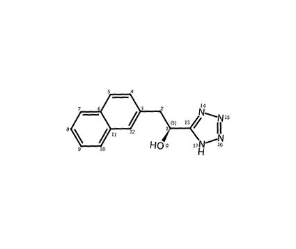 O[C@@H](Cc1ccc2ccccc2c1)c1nnn[nH]1